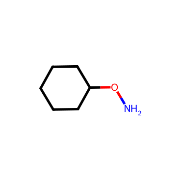 NOC1CCCCC1